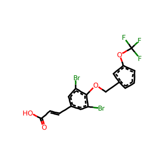 O=C(O)/C=C/c1cc(Br)c(OCc2cccc(OC(F)(F)F)c2)c(Br)c1